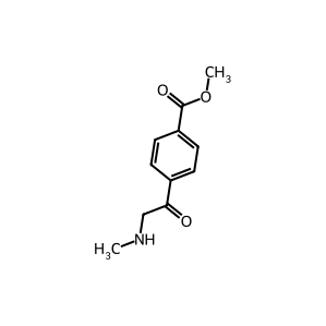 CNCC(=O)c1ccc(C(=O)OC)cc1